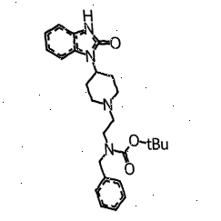 CC(C)(C)OC(=O)N(CCN1CCC(n2c(=O)[nH]c3ccccc32)CC1)Cc1ccccc1